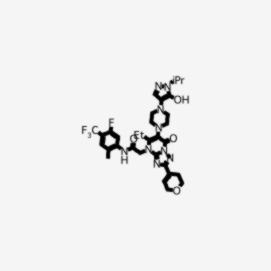 CCc1c(N2CCN(c3cnn(C(C)C)c3O)CC2)c(=O)n2nc(C3=CCOCC3)nc2n1CC(=O)Nc1cc(F)c(C(F)(F)F)cc1C